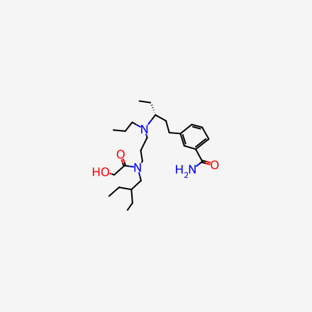 CCCN(CCCN(CC(CC)CC)C(=O)CO)[C@H](CC)CCc1cccc(C(N)=O)c1